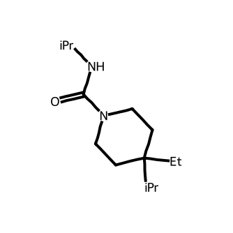 CCC1(C(C)C)CCN(C(=O)NC(C)C)CC1